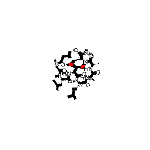 CNC(=O)[C@H](CC(C)C)N(C)C(=O)[C@H](C)NC(=O)[C@@H](C)NC(=O)[C@H](CCC(C)C)N(C)C(=O)[C@H](NC(=O)[C@H](CC(C)C)N(C)C(=O)CN(C)C(=O)CC(C)C)C(C)C